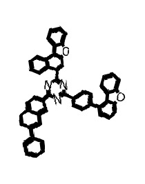 c1ccc(-c2ccc3ccc(-c4nc(-c5ccc(-c6cccc7oc8ccccc8c67)cc5)nc(-c5cc6oc7ccccc7c6c6ccccc56)n4)cc3c2)cc1